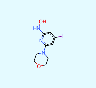 ONc1cc(I)cc(N2CCOCC2)n1